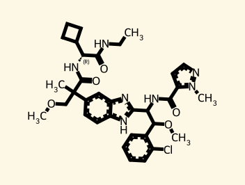 CCNC(=O)[C@H](NC(=O)C(C)(COC)c1ccc2[nH]c(C(NC(=O)c3ccnn3C)C(OC)c3ccccc3Cl)nc2c1)C1CCC1